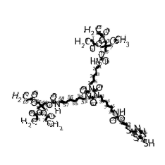 C=CC(=O)OCC(COC)(COC(=O)C=C)COC(=O)NCCCCCCn1c(=O)n(CCCCCCNC(=O)OCCSc2nnc(S)s2)c(=O)n(CCCCCCNC(=O)OCC(COC(=O)C=C)(COC(=O)C=C)COC(=O)C=C)c1=O